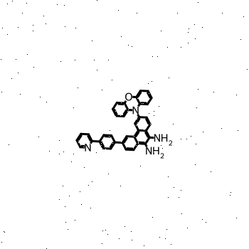 Nc1c(N)c2ccc(N3c4ccccc4Oc4ccccc43)cc2c2cc(-c3ccc(-c4ccccn4)cc3)ccc12